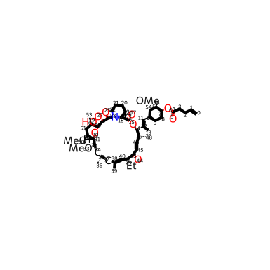 C=CCCC(=O)O[C@@H]1CC[C@@H](/C=C(\C)[C@H]2OC(=O)[C@@H]3CCCCN3C(=O)C(=O)[C@]3(O)O[C@H]([C@@H](OC)C[C@@H](C)C/C(C)=C/[C@@H](CC)C(=O)/C=C/[C@H]2C)[C@@H](OC)C[C@H]3C)C[C@H]1OC